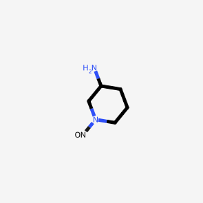 NC1CCCN(N=O)C1